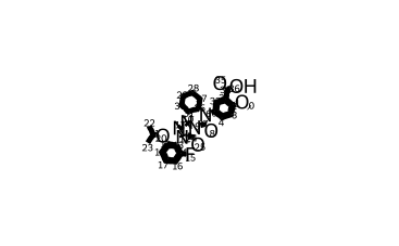 COc1ccc(N(C(=O)n2nnn(-c3c(F)cccc3OC(C)C)c2=O)C2CCCCC2)cc1C(=O)O